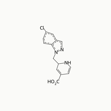 O=C(O)C1=CC(Cn2ncc3cc(Cl)ccc32)NC=C1